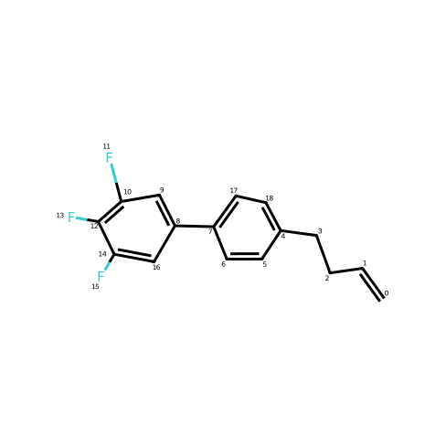 C=CCCc1ccc(-c2cc(F)c(F)c(F)c2)cc1